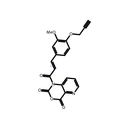 C#CCOc1ccc(/C=C/C(=O)n2c(=O)oc(=O)c3ncccc32)cc1OC